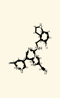 Cc1cc(-c2cnc(NCc3c(F)ccc4c3CCO4)n3cc(C#N)nc23)cnn1